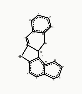 C1=C2Nc3ccc4ccccc4c3C2Cc2ccccc21